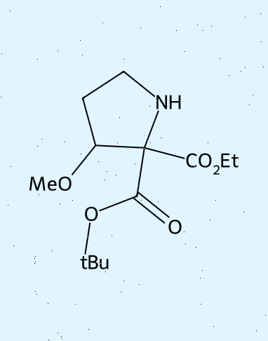 CCOC(=O)C1(C(=O)OC(C)(C)C)NCCC1OC